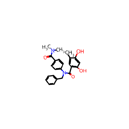 Cc1cc(C(=O)N(Cc2ccccc2)c2ccc(C(=O)N(C)C)cc2)c(O)cc1O